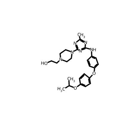 Cc1nc(Nc2ccc(Oc3ccc(OC(C)C)cc3)cc2)nc(N2CCN(CCO)CC2)n1